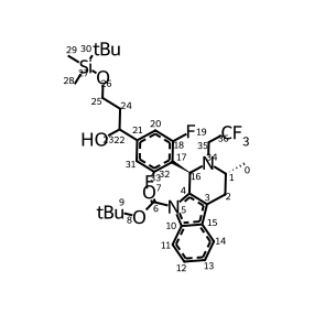 C[C@@H]1Cc2c(n(C(=O)OC(C)(C)C)c3ccccc23)[C@@H](c2c(F)cc(C(O)CCO[Si](C)(C)C(C)(C)C)cc2F)N1CC(F)(F)F